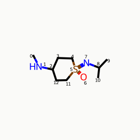 CNC1CCS(=O)(=NC(C)C)CC1